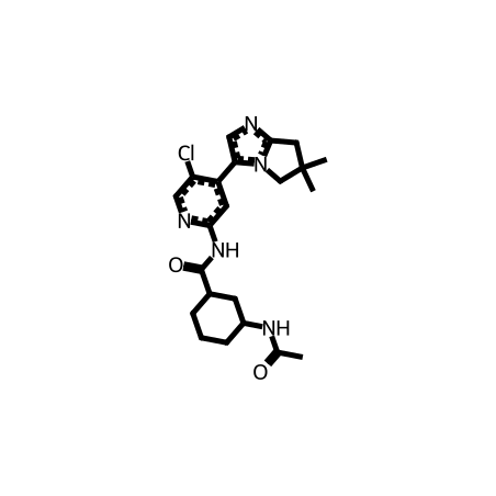 CC(=O)NC1CCCC(C(=O)Nc2cc(-c3cnc4n3CC(C)(C)C4)c(Cl)cn2)C1